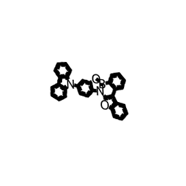 c1ccc2c(c1)B1Oc3cc(-n4c5ccccc5c5ccccc54)ccc3N1c1oc3ccccc3c1-2